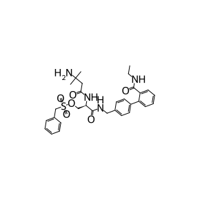 CCNC(=O)c1ccccc1-c1ccc(CNC(=O)[C@@H](COS(=O)(=O)Cc2ccccc2)NC(=O)CC(C)(C)N)cc1